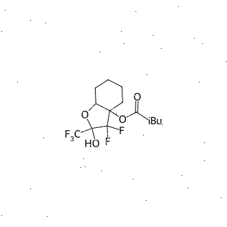 CCC(C)C(=O)OC12CCCCC1OC(O)(C(F)(F)F)C2(F)F